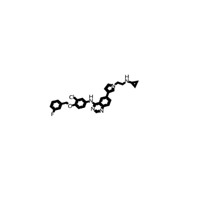 Fc1cccc(COc2ccc(Nc3ncnc4ccc(-c5ccn(CCNC6CC6)c5)cc34)cc2Cl)c1